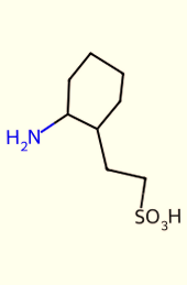 NC1CCCCC1CCS(=O)(=O)O